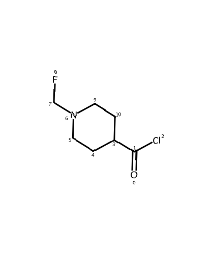 O=C(Cl)C1CCN(CF)CC1